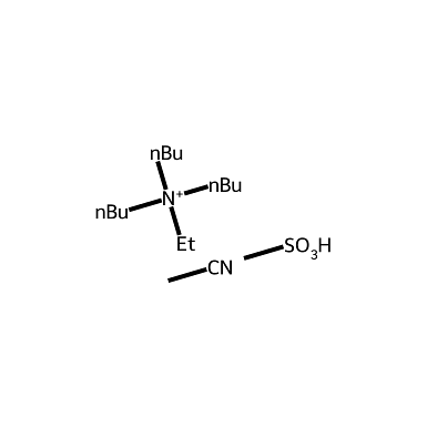 CC#N.CCCC[N+](CC)(CCCC)CCCC.CS(=O)(=O)O